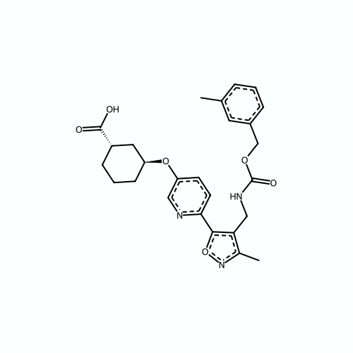 Cc1cccc(COC(=O)NCc2c(C)noc2-c2ccc(O[C@H]3CCC[C@H](C(=O)O)C3)cn2)c1